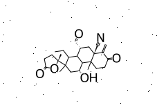 C=C1C(=O)CCC2(C)C3C(C(CC)C(C)([C@@]4(C)CCC(=O)O4)C[C@H]3O)[C@H](C=O)C[C@]12C#N